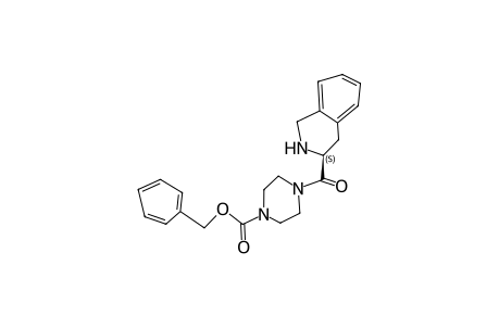 O=C(OCc1ccccc1)N1CCN(C(=O)[C@@H]2Cc3ccccc3CN2)CC1